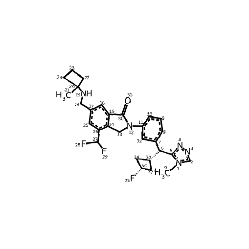 Cn1cnnc1C(c1cccc(N2Cc3c(cc(CNC4(C)CCC4)cc3C(F)F)C2=O)c1)[C@H]1C[C@@H](F)C1